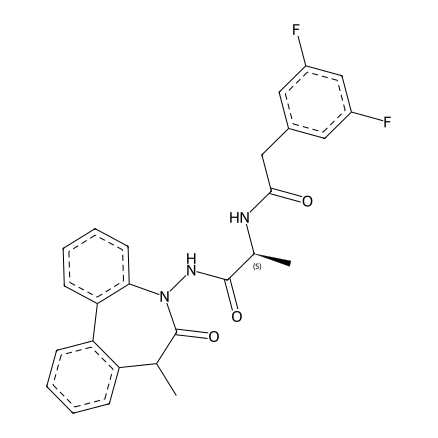 CC1C(=O)N(NC(=O)[C@H](C)NC(=O)Cc2cc(F)cc(F)c2)c2ccccc2-c2ccccc21